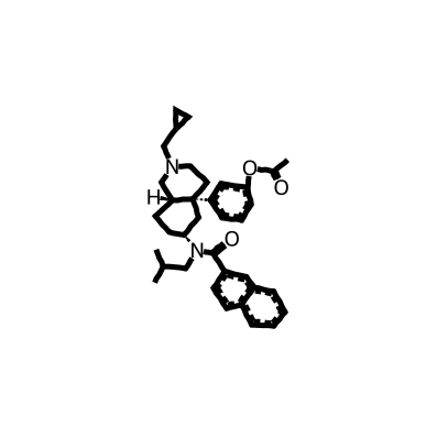 CC(=O)Oc1cccc([C@@]23CCN(CC4CC4)C[C@H]2CC[C@@H](N(CC(C)C)C(=O)c2ccc4ccccc4c2)C3)c1